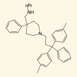 CCCNCC1(c2ccccc2)CCN(CCC(c2ccccc2)(c2ccc(C)cc2)c2ccc(C)cc2)CC1